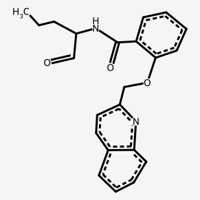 CCCC(C=O)NC(=O)c1ccccc1OCc1ccc2ccccc2n1